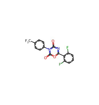 O=c1nc(-c2c(F)cccc2F)oc(=O)n1-c1ccc(C(F)(F)F)cc1